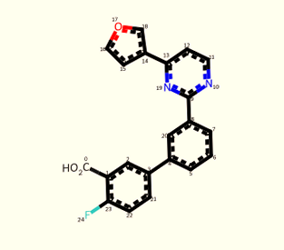 O=C(O)c1cc(-c2cccc(-c3nccc(-c4ccoc4)n3)c2)ccc1F